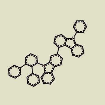 c1ccc(-c2cccc(-n3c4ccccc4c4ccc(-c5cccc6c5c5ccccc5n6-c5ccccc5)cc43)c2-c2ccccc2)cc1